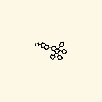 Clc1ccc2cc(-c3ccc4c(-c5ccccc5)c(-c5ccccc5)c(-c5ccccc5)c(-c5ccccc5)c4c3)ccc2c1